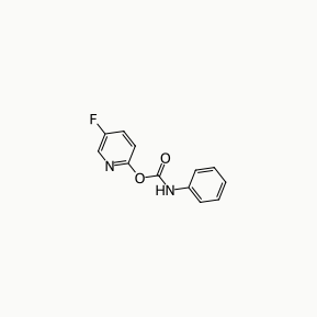 O=C(Nc1ccccc1)Oc1ccc(F)cn1